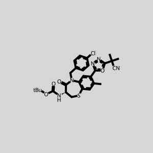 Cc1cc2c(cc1-c1nnc(C(C)(C)C#N)o1)N(Cc1ccc(Cl)cc1)C(=O)[C@@H](NC(=O)OC(C)(C)C)CS2